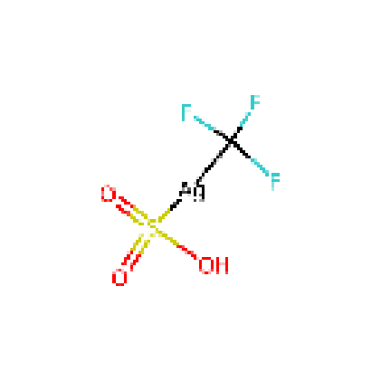 O=[S](=O)(O)[Ag][C](F)(F)F